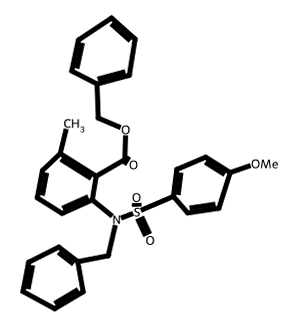 COc1ccc(S(=O)(=O)N(Cc2ccccc2)c2cccc(C)c2C(=O)OCc2ccccc2)cc1